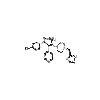 Clc1ccc(-c2n[nH]c(C3CCN(Cc4nccs4)CC3)c2-c2ccncc2)cc1